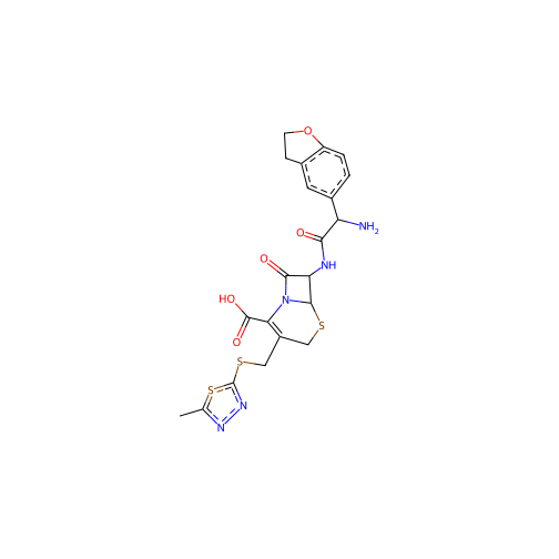 Cc1nnc(SCC2=C(C(=O)O)N3C(=O)C(NC(=O)C(N)c4ccc5c(c4)CCO5)C3SC2)s1